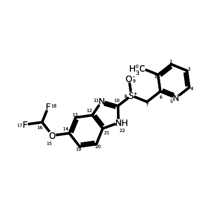 Cc1cccnc1C[S+]([O-])c1nc2cc(OC(F)F)ccc2[nH]1